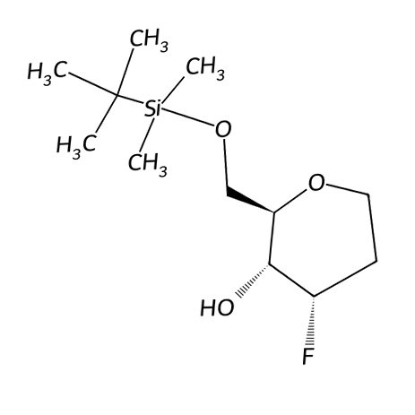 CC(C)(C)[Si](C)(C)OC[C@H]1OCC[C@H](F)[C@@H]1O